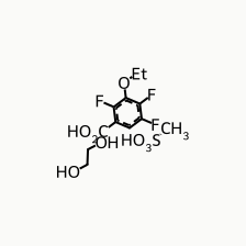 CCOc1c(F)c(F)cc(C(=O)O)c1F.CS(=O)(=O)O.OCCO